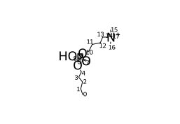 CCCCCOP(=O)(O)OCCCC[N+](C)(C)C